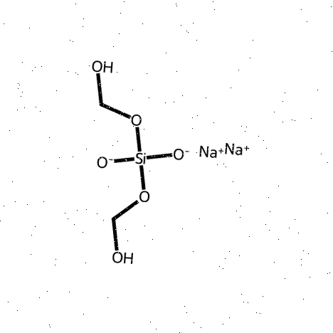 [Na+].[Na+].[O-][Si]([O-])(OCO)OCO